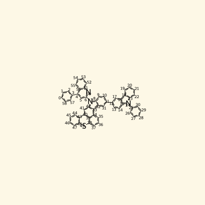 c1ccc(-c2cc(-n3c4ccc(-c5ccc6c(c5)c5ccccc5n6-c5ccccc5)cc4c4c5cccc6c5c(cc43)-c3ccccc3S6)nc3ccccc23)cc1